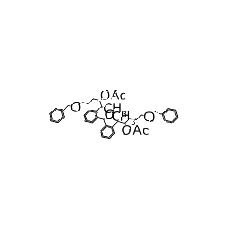 CC(=O)OC(CCCOCc1ccccc1)C(C)c1ccccc1C(=O)c1ccccc1C(C)C(CCCOCc1ccccc1)OC(C)=O